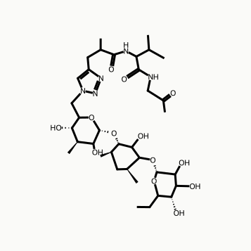 CCC1O[C@H](OC2C(O)[C@@H](O[C@H]3OC(Cn4cc(CC(C)C(=O)NC(C(=O)NCC(C)=O)C(C)C)nn4)[C@@H](O)[C@H](C)C3O)[C@H](C)C[C@@H]2C)C(O)C(O)[C@@H]1O